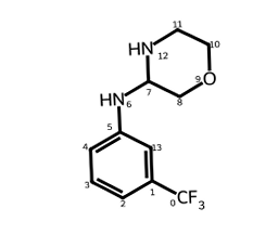 FC(F)(F)c1cccc(NC2COCCN2)c1